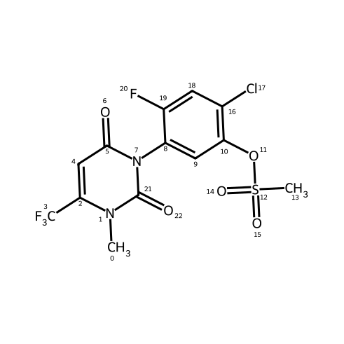 Cn1c(C(F)(F)F)cc(=O)n(-c2cc(OS(C)(=O)=O)c(Cl)cc2F)c1=O